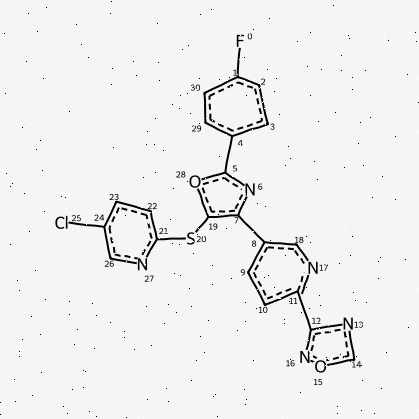 Fc1ccc(-c2nc(-c3ccc(-c4ncon4)nc3)c(Sc3ccc(Cl)cn3)o2)cc1